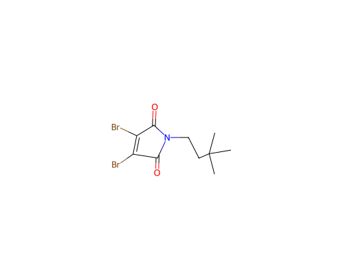 CC(C)(C)CCN1C(=O)C(Br)=C(Br)C1=O